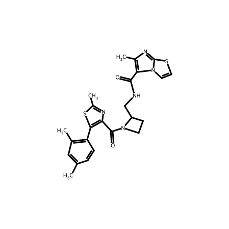 Cc1ccc(-c2sc(C)nc2C(=O)N2CCC2CNC(=O)c2c(C)nc3sccn23)c(C)c1